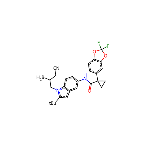 BC(CC#N)Cn1c(C(C)(C)C)cc2cc(NC(=O)C3(c4ccc5c(c4)OC(F)(F)O5)CC3)ccc21